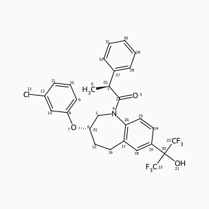 C[C@H](C(=O)N1C[C@@H](Oc2cccc(Cl)c2)CCc2cc(C(O)(C(F)(F)F)C(F)(F)F)ccc21)c1ccccc1